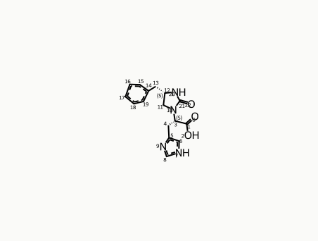 O=C(O)[C@H](Cc1c[nH]cn1)N1C[C@H](Cc2ccccc2)NC1=O